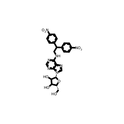 O=[N+]([O-])c1ccc(C(CNc2ncnc3c2ncn3[C@@H]2O[C@H](CO)C(O)C2O)c2ccc([N+](=O)[O-])cc2)cc1